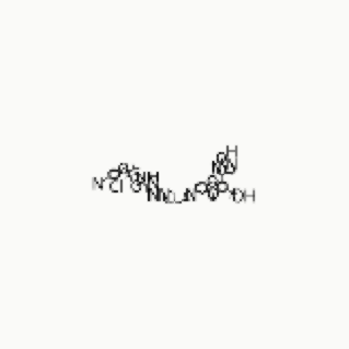 COc1cc(N2CC(CC3CCN(c4cnc(C(=O)NC5C(C)(C)C(Oc6ccc(C#N)c(Cl)c6)C5(C)C)cn4)CC3)C2)ccc1Oc1ccc(C(C)(C)O)cc1-c1cn(C)c(=O)c2[nH]ccc12